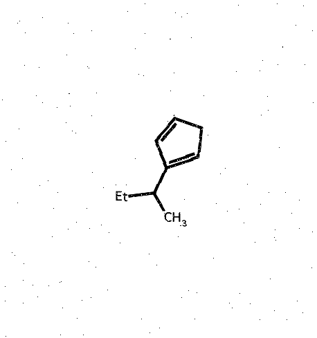 CCC(C)C1=CC[C]=C1